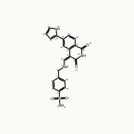 NS(=O)(=O)c1ccc(CNC=C2C(=O)NC(=O)c3ccc(-c4ccc[nH]4)cc32)cc1